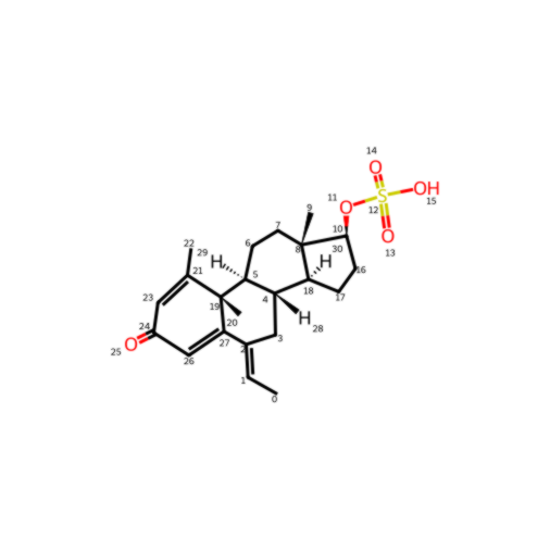 CC=C1C[C@@H]2[C@H](CC[C@]3(C)[C@@H](OS(=O)(=O)O)CC[C@@H]23)[C@@]2(C)C(C)=CC(=O)C=C12